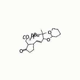 CCCCC(C)(C)C(/C=C/C1CCC(=O)C1CC(=O)O)OC1CCCCO1